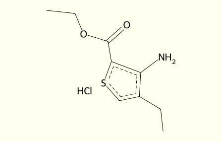 CCOC(=O)c1scc(CC)c1N.Cl